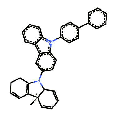 C[C@]12C=CC=CC1N(c1ccc3c(c1)c1ccccc1n3-c1ccc(-c3ccccc3)cc1)C1=C2C=CCC1